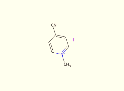 C[n+]1ccc(C#N)cc1.[I-]